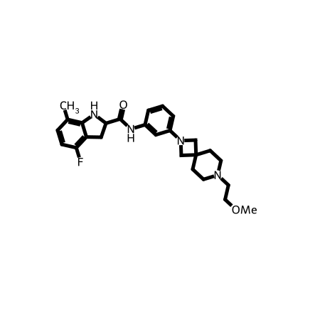 COCCN1CCC2(CC1)CN(c1cccc(NC(=O)C3Cc4c(F)ccc(C)c4N3)c1)C2